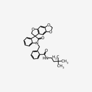 CC(C)(C)CCNC(=O)c1ccccc1CN1C(=O)C2(COc3cc4c(cc32)OCO4)c2ccccc21